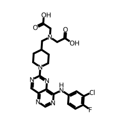 O=C(O)CN(CC(=O)O)CC1CCN(c2ncc3ncnc(Nc4ccc(F)c(Cl)c4)c3n2)CC1